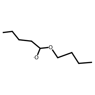 CCCCOC([O])CCCC